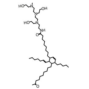 CCCCCC=CC1C(CCCCCCCCC(=O)NCCN(CCO)CCN(CCO)CCN(C)CCO)C=CC(CCCCC)C1CCCCCCCCC(C)=O